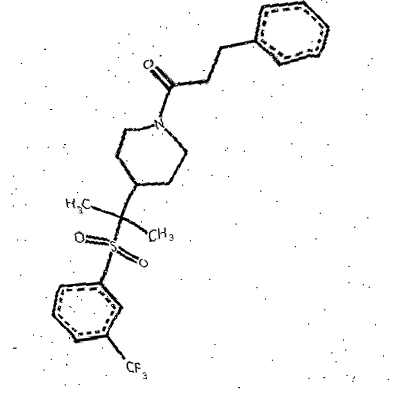 CC(C)(C1CCN(C(=O)CCc2ccccc2)CC1)S(=O)(=O)c1cccc(C(F)(F)F)c1